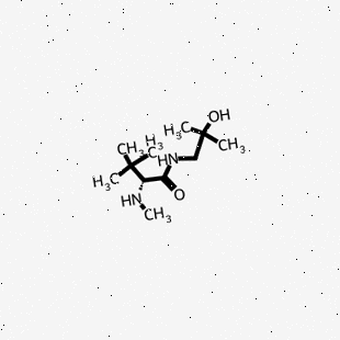 CN[C@@H](C(=O)NCC(C)(C)O)C(C)(C)C